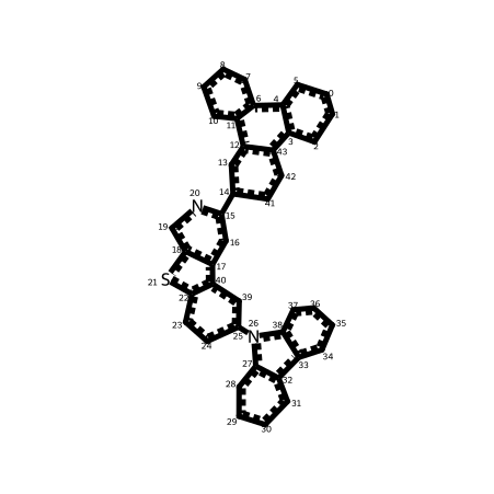 c1ccc2c(c1)c1ccccc1c1cc(-c3cc4c(cn3)sc3ccc(-n5c6ccccc6c6ccccc65)cc34)ccc21